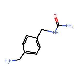 NCc1ccc(CNC(N)=O)cc1